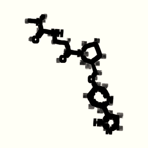 CN(C)C(=O)NCCC(=O)N1CCC[C@@H](COc2ccc(-c3ccn[nH]3)nc2)C1